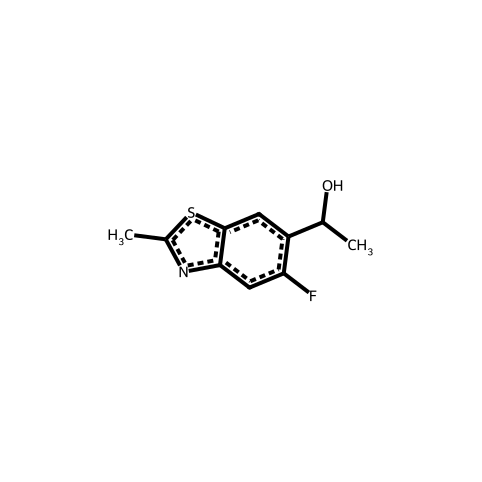 Cc1nc2cc(F)c(C(C)O)cc2s1